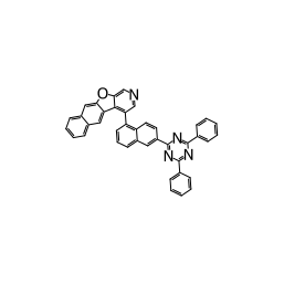 c1ccc(-c2nc(-c3ccccc3)nc(-c3ccc4c(-c5cncc6oc7cc8ccccc8cc7c56)cccc4c3)n2)cc1